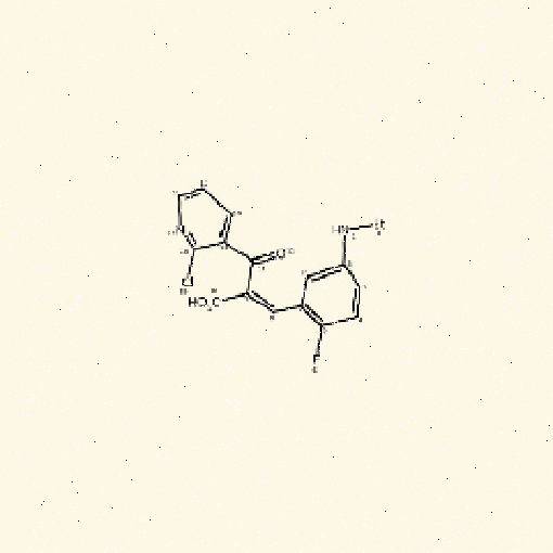 CCNc1ccc(F)c(C=C(C(=O)O)C(=O)c2cccnc2Cl)c1